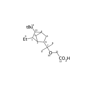 CCC1C2CC(CC2C(C)(C)OCC(=O)O)C1C(C)(C)C